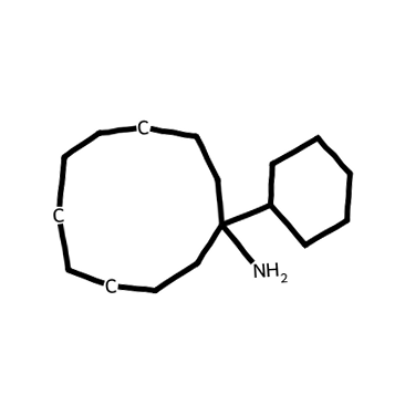 NC1(C2CCCCC2)CCCCCCCCCC1